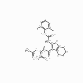 Cc1cccc(C)c1NC(=O)Nc1sc2c(c1C(=O)N[C@@H](CC(=O)O)C(=O)O)CCCC2